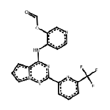 O=COc1cnccc1Nc1nc(-c2cccc(C(F)(F)F)n2)nn2cccc12